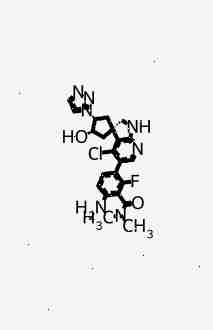 CN(C)C(=O)c1c(N)ccc(-c2cnc3c(c2Cl)[C@@]2(CN3)C[C@@H](O)[C@H](n3ccnn3)C2)c1F